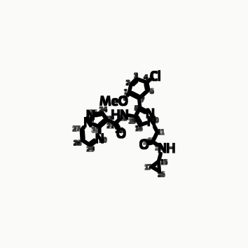 COc1ccc(Cl)cc1-c1nn(CC(=O)NC2CC2)cc1NC(=O)c1cnn2cccnc12